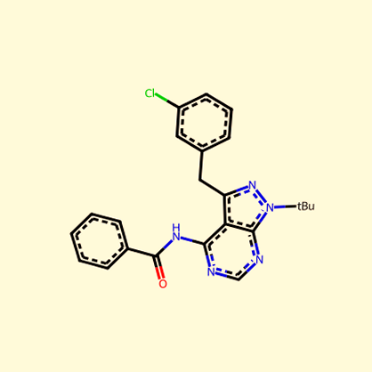 CC(C)(C)n1nc(Cc2cccc(Cl)c2)c2c(NC(=O)c3ccccc3)ncnc21